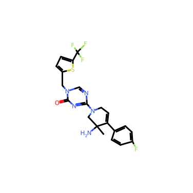 CC1(N)CN(c2ncn(Cc3ccc(C(F)(F)F)s3)c(=O)n2)CC=C1c1ccc(F)cc1